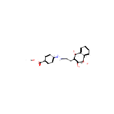 CCOC(=O)c1ccc(NCCCC2=C(O)C(=O)c3ccccc3C2=O)cc1